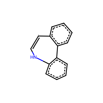 [C]1=CNc2ccccc2-c2ccccc21